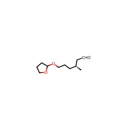 C[C@H](CC=O)CCCOC1CCCO1